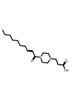 CCCCCCC/C=C/C(=O)N1CCN(CCC(=O)O)CC1